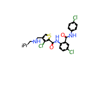 CC(C)CNCc1csc(C(=O)Nc2ccc(Cl)cc2C(=O)Nc2ccc(Cl)cc2)c1Cl